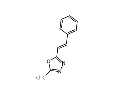 ClC(Cl)(Cl)c1nnc(/C=C/c2ccccc2)o1